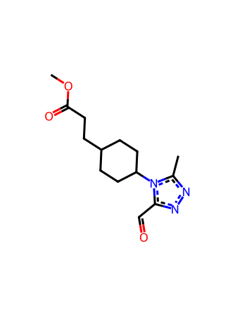 COC(=O)CCC1CCC(n2c(C)nnc2C=O)CC1